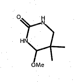 COC1NC(=O)NCC1(C)C